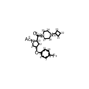 CC(=O)N1CC(Oc2ccc(F)cc2)CC1C(=O)N1CCN(C2CCC2)CC1